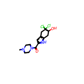 CN1CCN(C(=O)c2cc3c([nH]2)CC(O)C(Cl)(Cl)C3)CC1